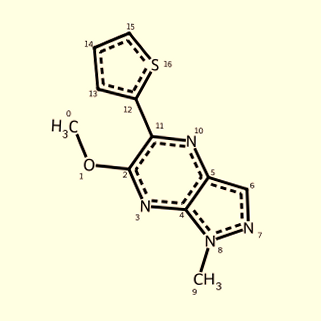 COc1nc2c(cnn2C)nc1-c1cccs1